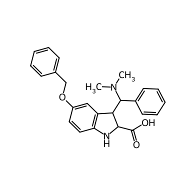 CN(C)C(c1ccccc1)C1c2cc(OCc3ccccc3)ccc2NC1C(=O)O